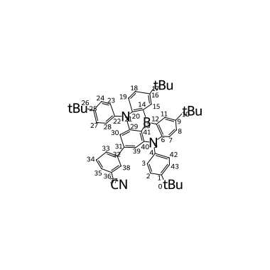 CC(C)(C)c1ccc(N2c3ccc(C(C)(C)C)cc3B3c4cc(C(C)(C)C)ccc4N(c4ccc(C(C)(C)C)cc4)c4cc(-c5cccc(C#N)c5)cc2c43)cc1